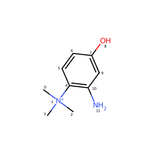 C[N+](C)(C)c1ccc(O)cc1N